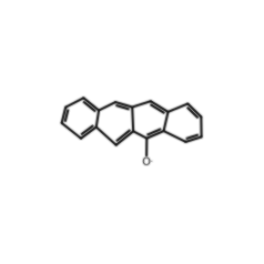 [O]c1c2ccccc2cc2cc3ccccc3cc12